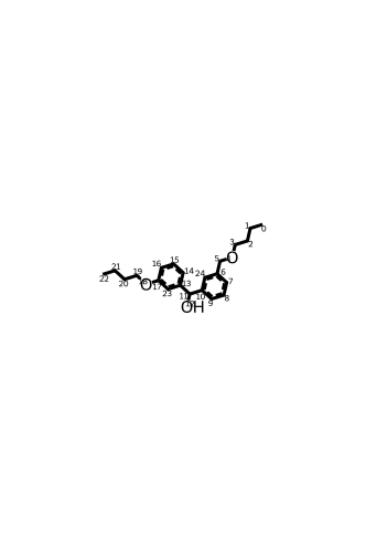 CCCCOCc1cccc(C(O)c2cccc(OCCCC)c2)c1